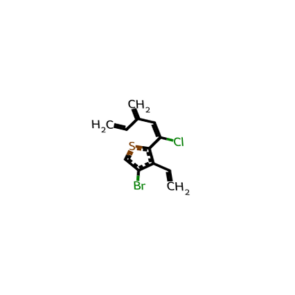 C=CC(=C)/C=C(/Cl)c1scc(Br)c1C=C